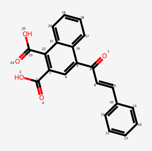 O=C(O)c1cc(C(=O)C=Cc2ccccc2)c2ccccc2c1C(=O)O